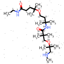 CCNC(=O)CCC(C)(C)OCCC(C)(C)NC(=O)C(C)(C)COC(C)(C)CNC